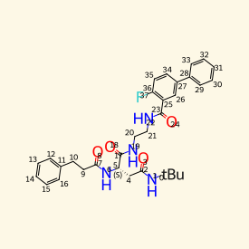 CC(C)(C)NC(=O)C[C@H](NC(=O)CCc1ccccc1)C(=O)NCCNC(=O)c1cc(-c2ccccc2)ccc1F